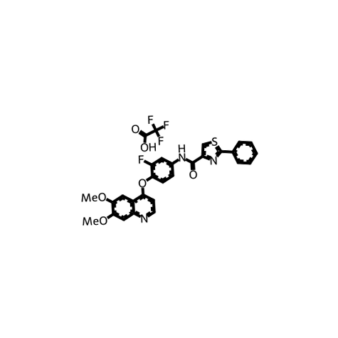 COc1cc2nccc(Oc3ccc(NC(=O)c4csc(-c5ccccc5)n4)cc3F)c2cc1OC.O=C(O)C(F)(F)F